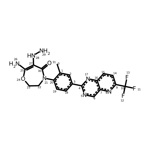 Cc1cc(-c2ncc3nc(C(F)(F)F)ccc3n2)ccc1N1CCOC(N)=C(NN)C1=O